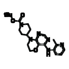 Cc1ncccc1Nc1ncnc2c1OCCN2C1CCN(C(=O)OC(C)(C)C)CC1